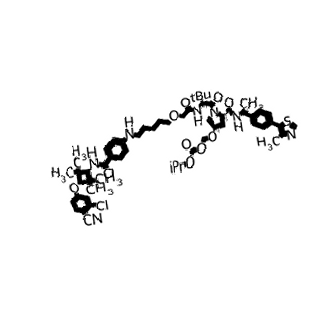 Cc1ncsc1-c1ccc([C@H](C)NC(=O)[C@@H]2C[C@@H](OCOC(=O)OC(C)C)CN2C(=O)[C@@H](NC(=O)COCCCCCNc2ccc(C(=O)N[C@H]3C(C)(C)[C@H](Oc4ccc(C#N)c(Cl)c4)C3(C)C)cc2)C(C)(C)C)cc1